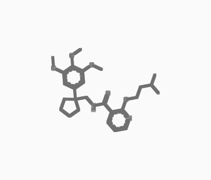 COc1cc(C2(CNC(=O)c3cccnc3OCCC(C)C)CCCC2)cc(OC)c1OC